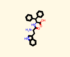 N[C@@H](Cc1c[nH]c2ccccc12)C(=O)N[C@H](C(=O)O)C(c1ccccc1)c1ccccc1